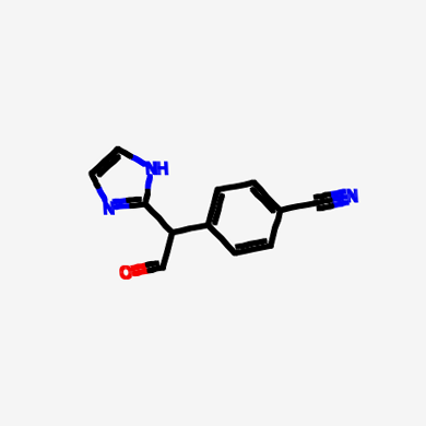 N#Cc1ccc(C(C=O)c2ncc[nH]2)cc1